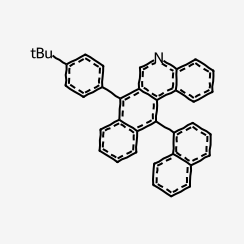 CC(C)(C)c1ccc(-c2c3ccccc3c(-c3cccc4ccccc34)c3c2cnc2ccccc23)cc1